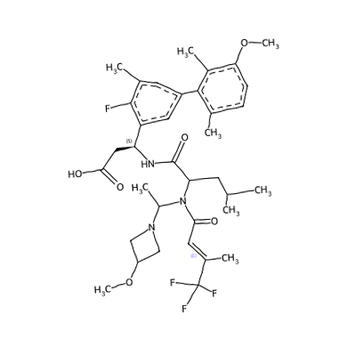 COc1ccc(C)c(-c2cc(C)c(F)c([C@H](CC(=O)O)NC(=O)C(CC(C)C)N(C(=O)/C=C(\C)C(F)(F)F)C(C)N3CC(OC)C3)c2)c1C